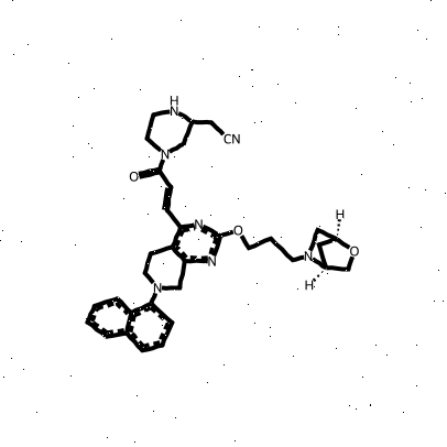 N#CCC1CN(C(=O)C=Cc2nc(OCCCN3C[C@@H]4C[C@H]3CO4)nc3c2CCN(c2cccc4ccccc24)C3)CCN1